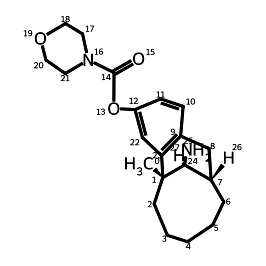 C[C@@]12CCCCC[C@@H](Cc3ccc(OC(=O)N4CCOCC4)cc31)[C@@H]2N